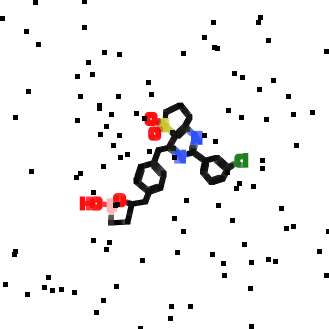 O=S1(=O)CCCc2nc(-c3cccc(Cl)c3)nc(Cc3ccc(CC4CCB(O)O4)cc3)c21